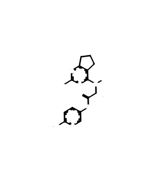 COc1ccc(NC(=O)[C@@H](C)N(C)c2nc(Cl)nc3c2CCC3)cn1